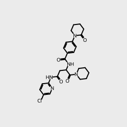 O=C(CC(NC(=O)c1ccc(N2CCCCC2=O)cc1)C(=O)N1CCCCC1)Nc1ccc(Cl)cn1